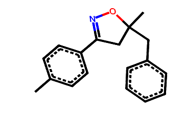 Cc1ccc(C2=NOC(C)(Cc3ccccc3)C2)cc1